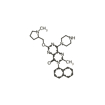 Cc1nc2c(N3CCNCC3)nc(OCC3CCCN3C)nc2c(=O)n1-c1cccc2ccccc12